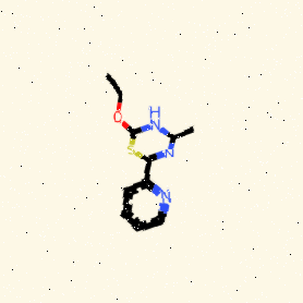 CCOC1NC(C)N=C(c2ccccn2)S1